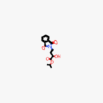 CC(C)OC(=O)C(O)CCN1C(=O)c2ccccc2C1=O